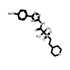 COc1ccc(-c2nnc(NC(=O)C(C)(C)S(=O)(=O)CCC3CCOCC3)[nH]2)cc1